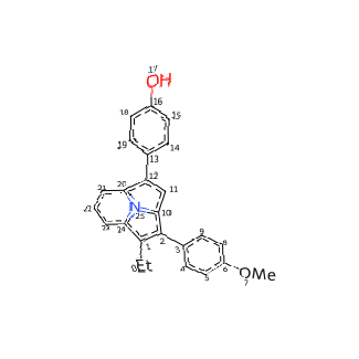 CCc1c(-c2ccc(OC)cc2)c2cc(-c3ccc(O)cc3)c3cccc1n32